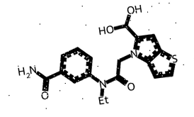 CCN(C(=O)Cn1c(C(O)O)cc2sccc21)c1cccc(C(N)=O)c1